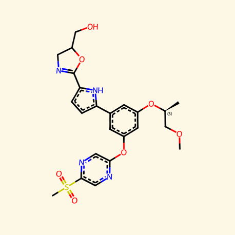 COC[C@H](C)Oc1cc(Oc2cnc(S(C)(=O)=O)cn2)cc(-c2ccc(C3=NCC(CO)O3)[nH]2)c1